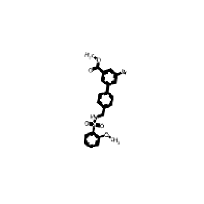 COC(=O)c1cc(Br)cc(-c2ccc(CNS(=O)(=O)c3ccccc3OC)cc2)c1